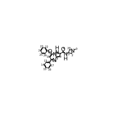 CN1CC(NC(=O)C2C=C3N=C(c4ccccc4)C=C(Oc4ccccc4)N3N2)C1